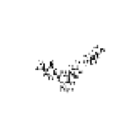 Cc1cc(-c2cc3ncccc3c(-n3cc(CCOC(=O)OC(C)(C)C)cn3)n2)ccc1N(C)C